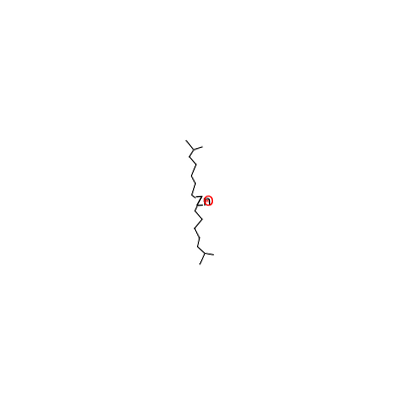 CC(C)CCCC[CH2][Zn](=[O])[CH2]CCCCC(C)C